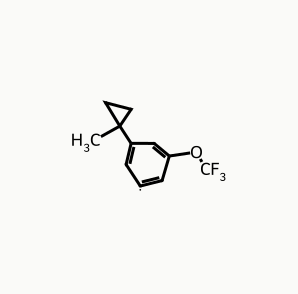 CC1(c2c[c]cc(OC(F)(F)F)c2)CC1